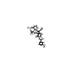 COc1cccc(C(=O)Cn2cnc3c(C#N)c(N4CCC[C@H](N)C4)n(CC=C(C)Cl)c3c2=O)c1